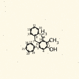 Cc1c(O)ccc(Cc2ccccc2)c1C.c1ccccc1